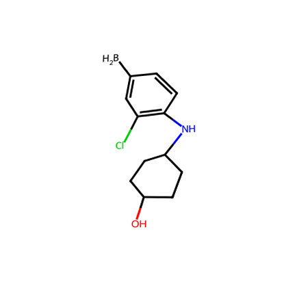 Bc1ccc(NC2CCC(O)CC2)c(Cl)c1